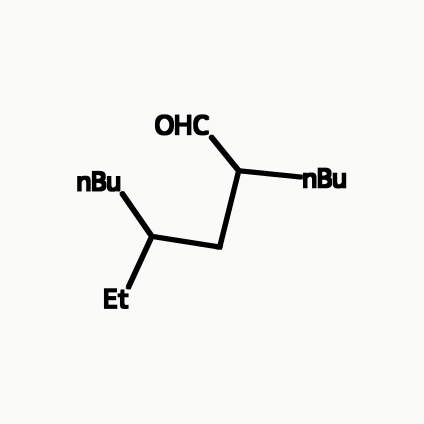 CCCCC(C=O)CC(CC)CCCC